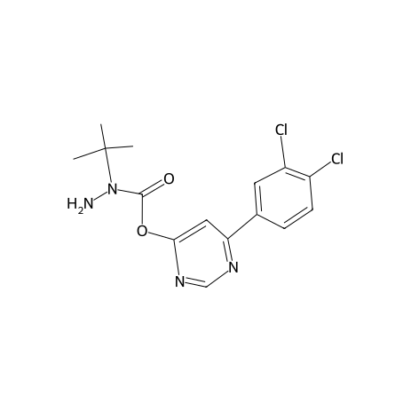 CC(C)(C)N(N)C(=O)Oc1cc(-c2ccc(Cl)c(Cl)c2)ncn1